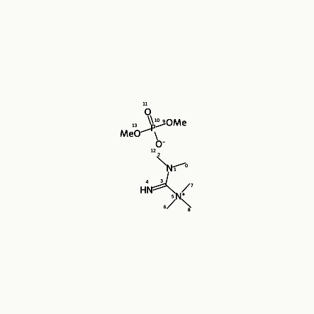 CN(C)C(=N)[N+](C)(C)C.COP(=O)([O-])OC